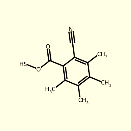 Cc1c(C)c(C)c(C(=O)OS)c(C#N)c1C